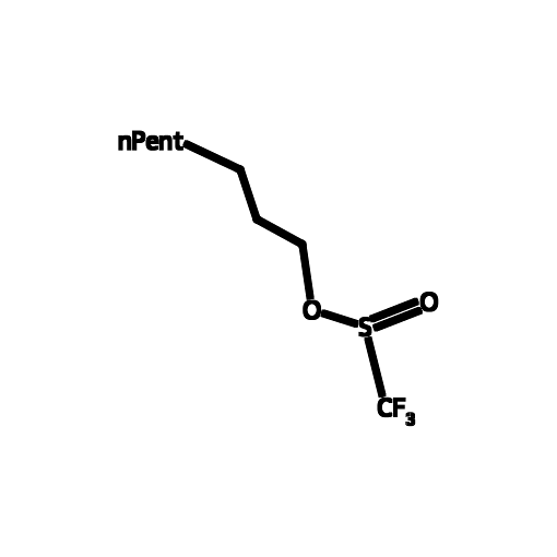 CCCCCCCCOS(=O)C(F)(F)F